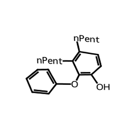 CCCCCc1ccc(O)c(Oc2ccccc2)c1CCCCC